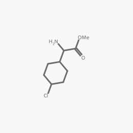 COC(=O)C(N)C1CCC(Cl)CC1